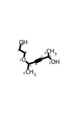 CC(O)C#CC(C)OCCO